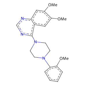 COc1cc2ncnc(N3CCN(c4ccccc4OC)CC3)c2cc1OC